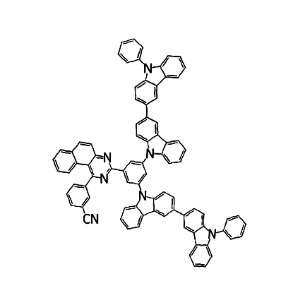 N#Cc1cccc(-c2nc(-c3cc(-n4c5ccccc5c5cc(-c6ccc7c(c6)c6ccccc6n7-c6ccccc6)ccc54)cc(-n4c5ccccc5c5cc(-c6ccc7c(c6)c6ccccc6n7-c6ccccc6)ccc54)c3)nc3ccc4ccccc4c23)c1